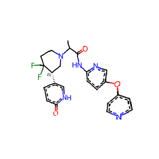 CC(C(=O)Nc1ccc(Oc2ccncc2)cn1)N1CCC(F)(F)[C@@H](c2ccc(=O)[nH]c2)C1